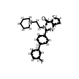 O=c1c2sccc2nc(-c2ccc(-c3cccc(F)c3)cc2)n1CCN1CCCCC1